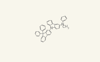 CN(c1ccccc1)c1ccc2c(c1)c1ccccc1n2-c1ccc2c(c1)C(c1ccccc1)(c1ccccc1)c1ccccc1-2